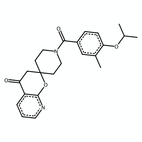 Cc1cc(C(=O)N2CCC3(CC2)CC(=O)c2cccnc2O3)ccc1OC(C)C